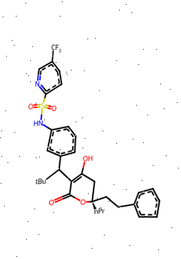 CCC[C@]1(CCc2ccccc2)CC(O)=C(C(c2cccc(NS(=O)(=O)c3ccc(C(F)(F)F)cn3)c2)C(C)(C)C)C(=O)O1